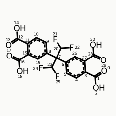 O=C(O)c1ccc(C(c2ccc(C(=O)O)c(C(=O)O)c2)(C(F)F)C(F)F)cc1C(=O)O